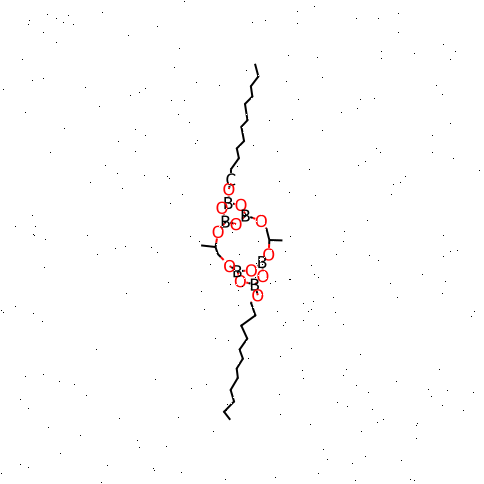 CCCCCCCCCCCCOB1OB2OCC(C)OB3OB(OCCCCCCCCCCCC)OB(OCC(C)OB(O1)O2)O3